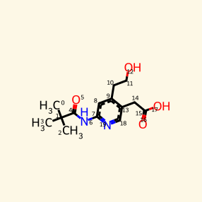 CC(C)(C)C(=O)Nc1cc(CCO)c(CC(=O)O)cn1